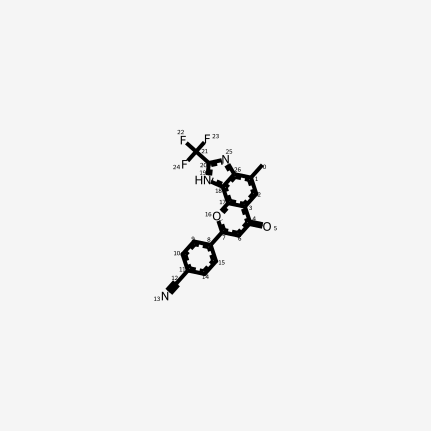 Cc1cc2c(=O)cc(-c3ccc(C#N)cc3)oc2c2[nH]c(C(F)(F)F)nc12